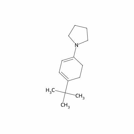 CC(C)(C)C1=CC=C(N2CCCC2)CC1